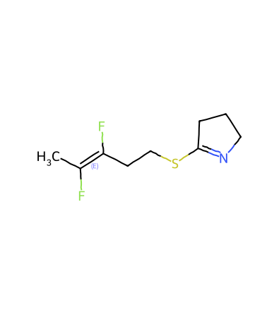 C/C(F)=C(\F)CCSC1=NCCC1